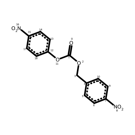 O=C(OCc1ccc([N+](=O)[O-])cc1)Oc1ccc([N+](=O)[O-])cc1